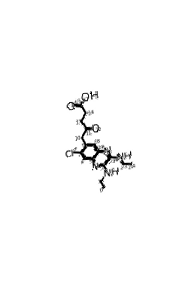 CCNc1nc2cc(Cl)c(CC(=O)CCC(=O)O)cc2nc1NCC